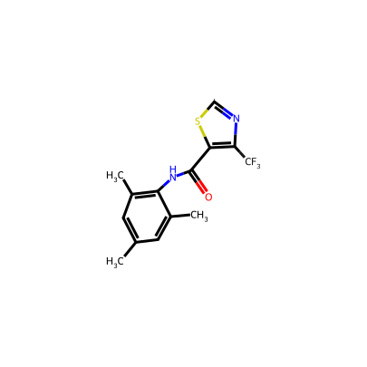 Cc1cc(C)c(NC(=O)c2s[c]nc2C(F)(F)F)c(C)c1